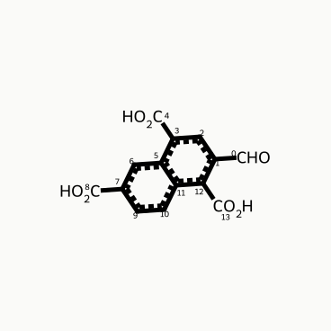 O=Cc1cc(C(=O)O)c2cc(C(=O)O)ccc2c1C(=O)O